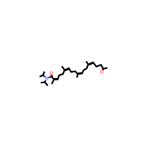 CC(=O)CCC=C(C)CCC=C(C)CCC=C(C)CCC=C(C)C(=O)N(C(C)C)C(C)C